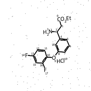 CCOC(=O)C[C@H](N)c1cccc(Oc2ccc(F)cc2F)c1.Cl